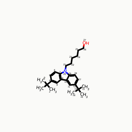 CC(C)(C)c1ccc2c(c1)c1cc(C(C)(C)C)ccc1n2CCCCCCO